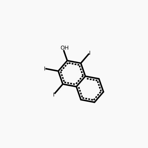 Oc1c(I)c(I)c2ccccc2c1I